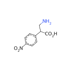 NCC(C(=O)O)c1ccc([N+](=O)[O-])cc1